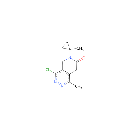 Cc1nnc(Cl)c2c1CC(=O)N(C1(C)CC1)C2